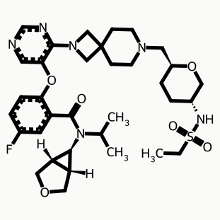 CCS(=O)(=O)N[C@@H]1CC[C@@H](CN2CCC3(CC2)CN(c2ncncc2Oc2ccc(F)cc2C(=O)N(C(C)C)[C@H]2[C@@H]4COC[C@@H]42)C3)OC1